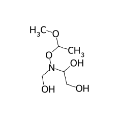 COC(C)ON(CO)C(O)CO